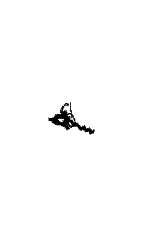 CCCCCCCCOc1c(C)cc(C)cc1Cl